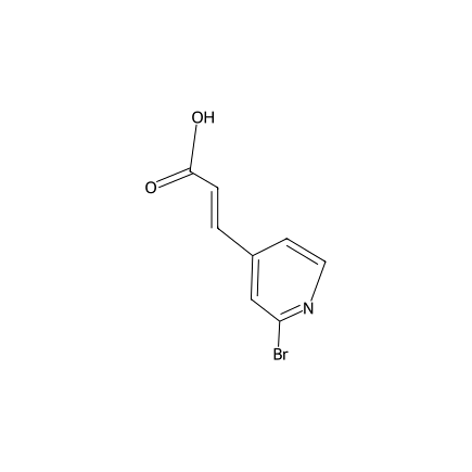 O=C(O)C=Cc1ccnc(Br)c1